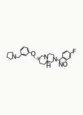 Fc1ccc2c(N3CCN4C[C@@H](COc5cccc(CN6CCCC6)c5)CC[C@H]4C3)noc2c1